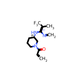 C=CC(=O)N1CCC[C@@H](N/C(N=C)=C(/C)C(F)(F)F)C1